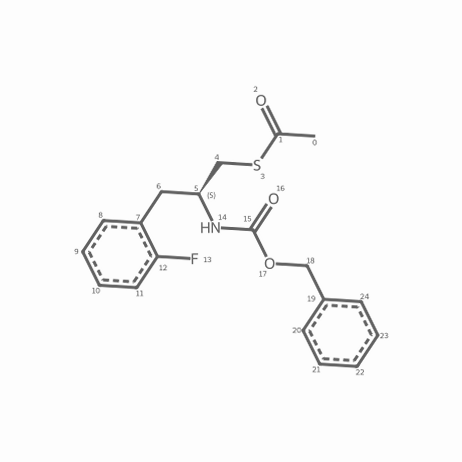 CC(=O)SC[C@H](Cc1ccccc1F)NC(=O)OCc1ccccc1